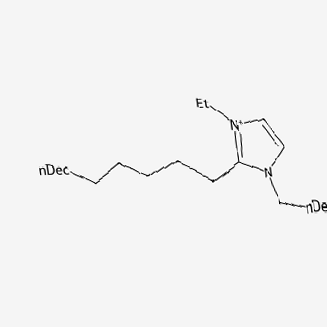 CCCCCCCCCCCCCCCc1n(CCCCCCCCCCC)cc[n+]1CC